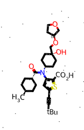 CC(C)(C)C#Cc1cc(N(C(=O)[C@H]2CC[C@H](C)CC2)[C@H]2CC[C@](O)(CO[C@H]3CCOC3)CC2)c(C(=O)O)s1